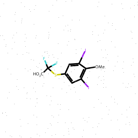 COc1c(I)cc(SC(F)(F)C(=O)O)cc1I